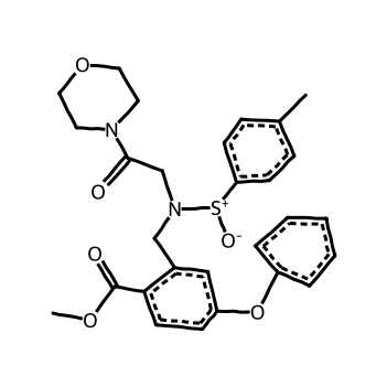 COC(=O)c1ccc(Oc2ccccc2)cc1CN(CC(=O)N1CCOCC1)[S+]([O-])c1ccc(C)cc1